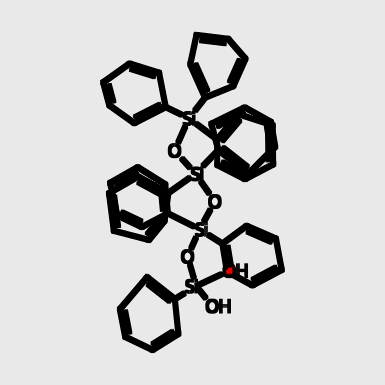 O[Si](O)(O[Si](O[Si](O[Si](c1ccccc1)(c1ccccc1)c1ccccc1)(c1ccccc1)c1ccccc1)(c1ccccc1)c1ccccc1)c1ccccc1